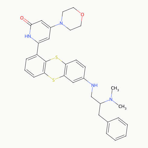 CN(C)C(CNc1ccc2c(c1)Sc1cccc(-c3cc(N4CCOCC4)cc(=O)[nH]3)c1S2)Cc1ccccc1